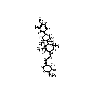 [2H]C1([2H])CC(CCC2CCC(CCC)CC2)CC([2H])([2H])C1C1CCC(c2ccc(F)c(F)c2)CC1